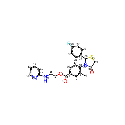 Cc1cc(C(=O)OCCNc2ccccn2)ccc1N1C(=O)CSC1c1ccc(F)cc1